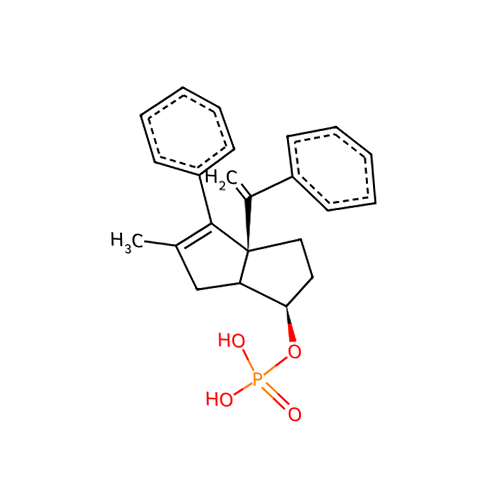 C=C(c1ccccc1)[C@@]12CC[C@@H](OP(=O)(O)O)C1CC(C)=C2c1ccccc1